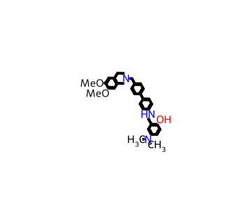 COc1cc2c(cc1OC)CN(Cc1ccc(-c3ccc(NCc4cc(N(C)C)ccc4O)cc3)cc1)CC2